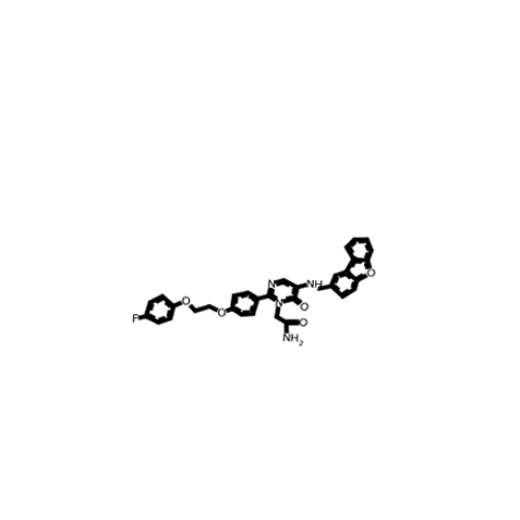 NC(=O)Cn1c(-c2ccc(OCCOc3ccc(F)cc3)cc2)ncc(NCc2ccc3oc4ccccc4c3c2)c1=O